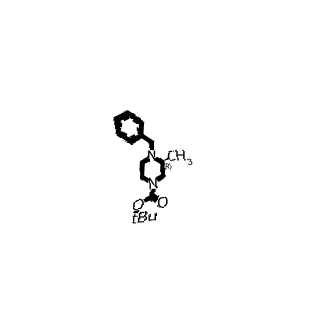 C[C@@H]1CN(C(=O)OC(C)(C)C)CCN1Cc1ccccc1